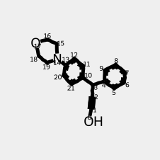 OC#CC(c1ccccc1)c1ccc(N2CCOCC2)cc1